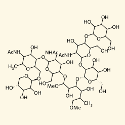 COCC(C)C(O)C(O[C@H]1O[C@@H](CO)C(O)C(O)C1OC1OC(CO)C(OC2OC(CO)C(O)C(O)C2O)C(O)C1NC(C)=O)C(O)C(OC)OC1C(CO)OC(OC2C(CO[C@@H]3OC[C@@H](O)C(O)C3O)OC(C)C(NC(C)=O)C2O)C(NC(C)=O)C1O